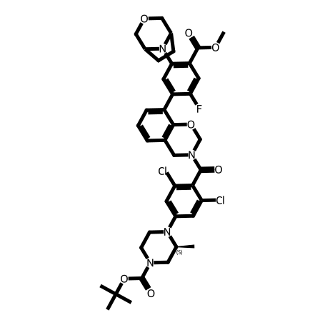 COC(=O)c1cc(F)c(-c2cccc3c2OCN(C(=O)c2c(Cl)cc(N4CCN(C(=O)OC(C)(C)C)C[C@@H]4C)cc2Cl)C3)cc1N1C2CCC1COC2